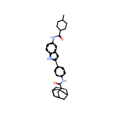 CC1CCC(C(=O)Nc2ccc3[nH]c(-c4ccc(NC(=O)C56CC7CC(CC(C7)C5)C6)cc4)cc3c2)CC1